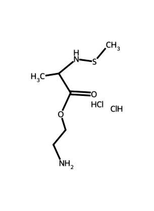 CSNC(C)C(=O)OCCN.Cl.Cl